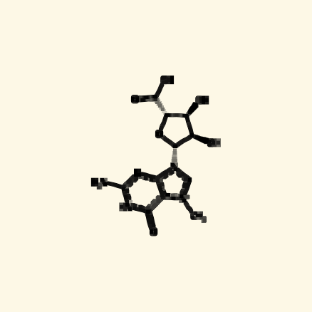 C[n+]1cn([C@@H]2O[C@H](C(=O)O)[C@@H](O)[C@H]2O)c2nc(N)[nH]c(=O)c21